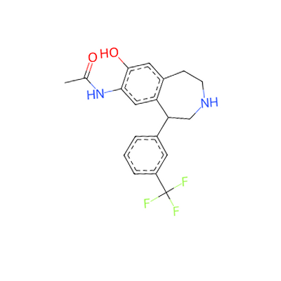 CC(=O)Nc1cc2c(cc1O)CCNCC2c1cccc(C(F)(F)F)c1